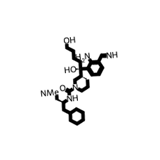 CNC[C@H](CC1CCCCC1)NC(=O)N1CCC[C@@H]([C@@](O)(CCCCO)c2cccc(C=N)c2N)C1